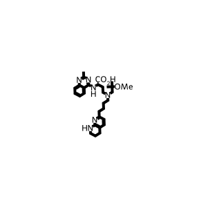 COC(C)(C)CN(CCCCc1ccc2c(n1)NCCC2)CC[C@H](Nc1nc(C)nc2ccccc12)C(=O)O